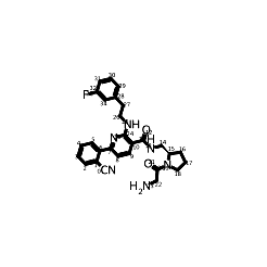 N#Cc1ccccc1-c1ccc(C(=O)NC[C@H]2CCCN2C(=O)CN)c(NCCc2cccc(F)c2)n1